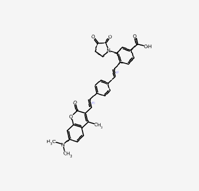 Cc1c(/C=C/c2ccc(/C=C/c3ccc(C(=O)O)cc3N3CCC(=O)C3=O)cc2)c(=O)oc2cc(N(C)C)ccc12